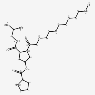 CCCCC(CCC)CNC(=O)C1CC(OC(=O)C2CCCN2)CN1C(=O)COCCOCCOCCNCC